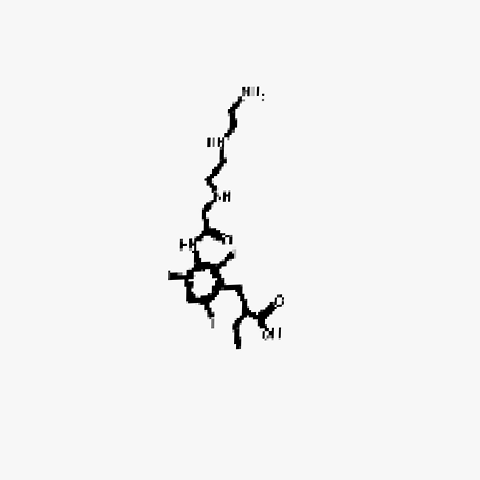 CCC(Cc1c(I)cc(I)c(NC(=O)CNCCNCCN)c1I)C(=O)O